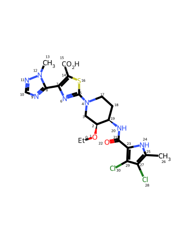 CCO[C@H]1CN(c2nc(-c3ncnn3C)c(C(=O)O)s2)CC[C@H]1NC(=O)c1[nH]c(C)c(Cl)c1Cl